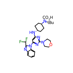 CC(C)(C)N(C(=O)O)[C@H]1CC[C@H](Nc2cc(-n3c(C(F)F)nc4ccccc43)nc(N3CCOCC3)n2)CC1